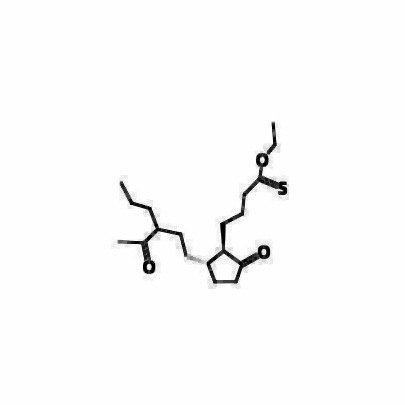 CCCC(CC[C@H]1CCC(=O)[C@@H]1CCCC(=S)OCC)C(C)=O